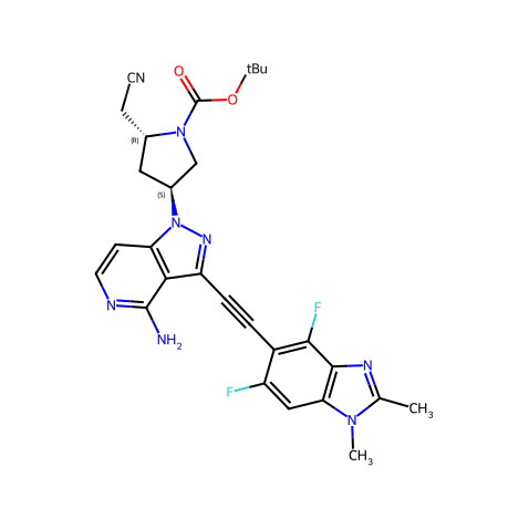 Cc1nc2c(F)c(C#Cc3nn([C@H]4C[C@H](CC#N)N(C(=O)OC(C)(C)C)C4)c4ccnc(N)c34)c(F)cc2n1C